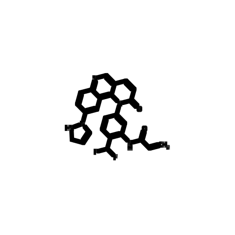 C=CC(=O)Nc1cc(-n2c(=O)ccc3cnc4ccc(N5C=CCN5)cc4c32)ccc1C(F)F